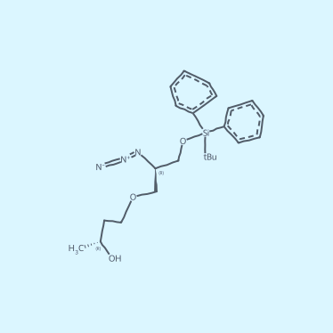 C[C@@H](O)CCOC[C@H](CO[Si](c1ccccc1)(c1ccccc1)C(C)(C)C)N=[N+]=[N-]